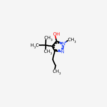 CCCc1nn(C)c(O)c1C(C)(C)C